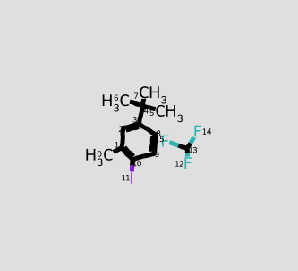 Cc1cc(C(C)(C)C)ccc1I.FC(F)F